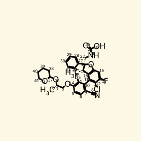 C[C@@H](COc1ccc(C#N)c(-c2c(Cl)c(F)cc3c2[C@H](C)[C@@](CNC(=O)O)(c2ccccc2)O3)c1F)OC1CCCCO1